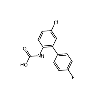 O=C(O)Nc1ccc(Cl)cc1-c1ccc(F)cc1